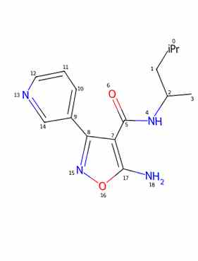 CC(C)CC(C)NC(=O)c1c(-c2cccnc2)noc1N